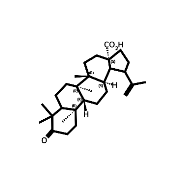 C=C(C)C1CC[C@]2(C(=O)O)CC[C@]3(C)[C@H](CC[C@@H]4[C@@]5(C)CCC(=O)C(C)(C)C5CC[C@]43C)C12